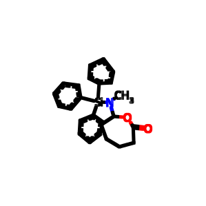 CN(C1CCCCC(=O)O1)[Si](c1ccccc1)(c1ccccc1)c1ccccc1